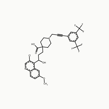 COc1ccc2ncc(Cl)c(C(O)CCC3(C(=O)O)CCN(CC#Cc4cc(C(F)(F)F)cc(C(F)(F)F)c4)CC3)c2c1